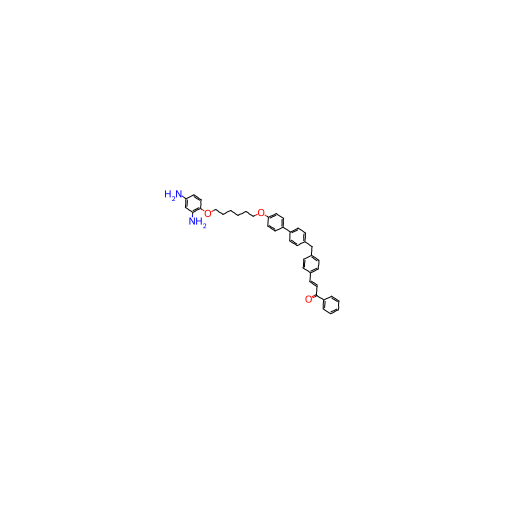 Nc1ccc(OCCCCCCOc2ccc(-c3ccc(Cc4ccc(/C=C/C(=O)c5ccccc5)cc4)cc3)cc2)c(N)c1